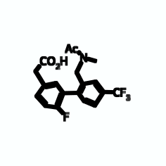 CC(=O)N(C)Cc1cc(C(F)(F)F)ccc1-c1cc(CC(=O)O)ccc1F